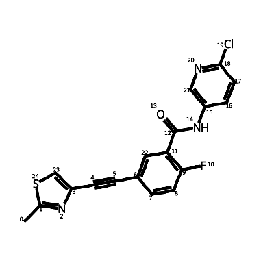 Cc1nc(C#Cc2ccc(F)c(C(=O)Nc3ccc(Cl)nc3)c2)cs1